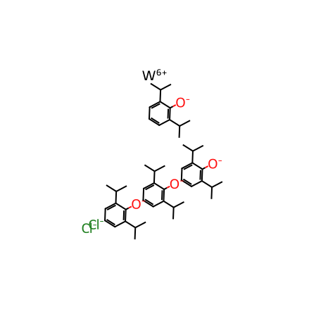 CC(C)c1cccc(C(C)C)c1[O-].CC(C)c1cccc(C(C)C)c1[O-].CC(C)c1cccc(C(C)C)c1[O-].CC(C)c1cccc(C(C)C)c1[O-].[Cl-].[Cl-].[W+6]